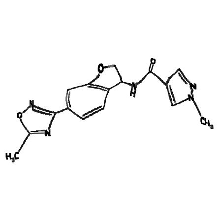 Cc1nc(-c2ccc3c(c2)OCC3NC(=O)c2cnn(C)c2)no1